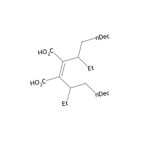 CCCCCCCCCCCC(CC)/C(C(=O)O)=C(/C(=O)O)C(CC)CCCCCCCCCCC